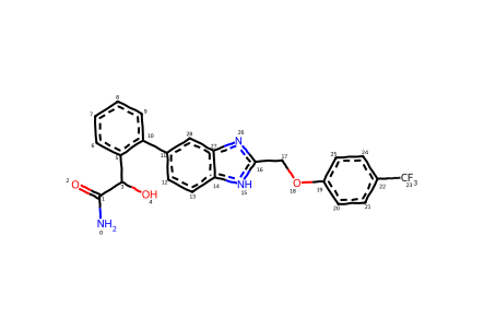 NC(=O)C(O)c1ccccc1-c1ccc2[nH]c(COc3ccc(C(F)(F)F)cc3)nc2c1